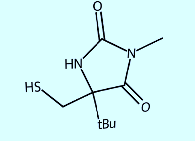 CN1C(=O)NC(CS)(C(C)(C)C)C1=O